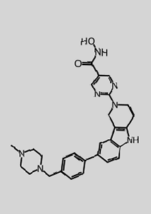 CN1CCN(Cc2ccc(-c3ccc4[nH]c5c(c4c3)CN(c3ncc(C(=O)NO)cn3)CC5)cc2)CC1